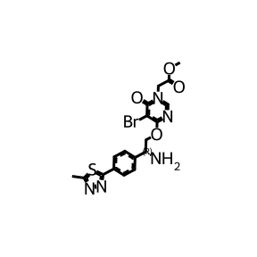 COC(=O)Cn1cnc(OC[C@H](N)c2ccc(-c3nnc(C)s3)cc2)c(Br)c1=O